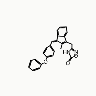 CC1=C(Cc2noc(=O)[nH]2)c2ccccc2C1=Cc1ccc(Oc2ccccc2)cc1